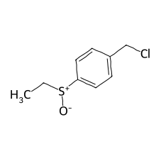 CC[S+]([O-])c1ccc(CCl)cc1